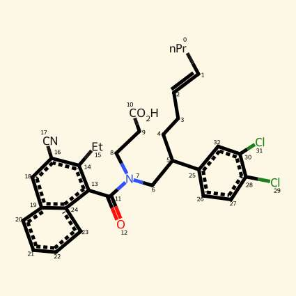 CCCC=CCCC(CN(CCC(=O)O)C(=O)c1c(CC)c(C#N)cc2ccccc12)c1ccc(Cl)c(Cl)c1